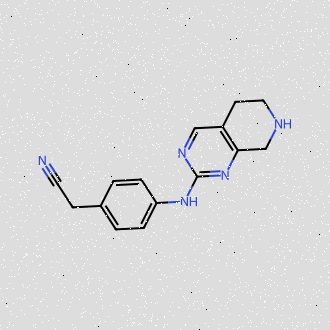 N#CCc1ccc(Nc2ncc3c(n2)CNCC3)cc1